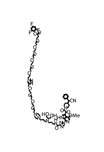 COc1cnc(-n2cnc(C(=O)NCCCN(CCCN3CCN(CCOCCOCCOCCOCc4cn(CCOCCOCCOCCOCCOCCOCCC(=O)Oc5c(F)cc(F)cc5F)nn4)CC3)C(CO)CO)n2)c2[nH]cc(C(=O)C(=O)N3CCC(=C(C#N)c4ccccc4)CC3)c12